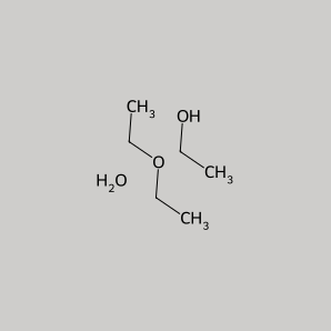 CCO.CCOCC.O